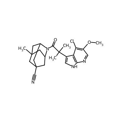 COc1cnc2[nH]cc(C(C)(C)C(=O)N3C4CC5(C)CC3CC(C#N)(C4)C5)c2c1Cl